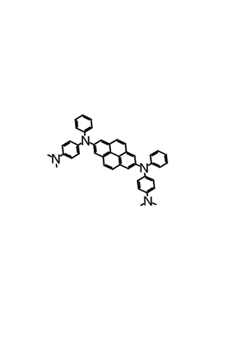 CN(C)c1ccc(N(c2ccccc2)c2cc3ccc4cc(N(c5ccccc5)c5ccc(N(C)C)cc5)cc5ccc(c2)c3c45)cc1